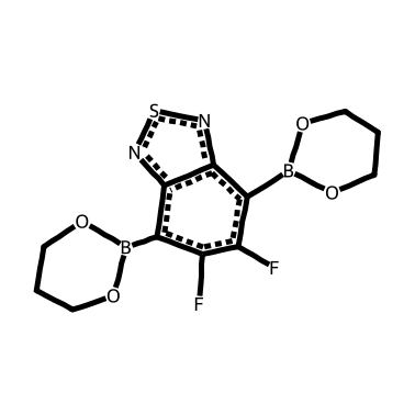 Fc1c(F)c(B2OCCCO2)c2nsnc2c1B1OCCCO1